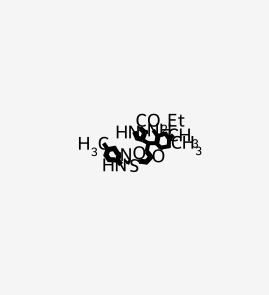 CCOC(=O)c1[nH]cc2c1NC1=C(C(=O)CC(C)(C)C1)C2c1ccc(Sc2nc3cc(C)ccc3[nH]2)o1